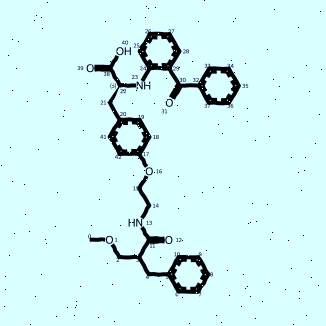 COCC(Cc1ccccc1)C(=O)NCCOc1ccc(C[C@H](Nc2ccccc2C(=O)c2ccccc2)C(=O)O)cc1